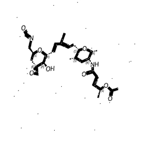 CC(=O)O[C@@H](C)C=CC(=O)N[C@@H]1C[C@H](C)[C@H](CC=C(C)C=C[C@H]2O[C@H](CN=C=O)C[C@@]3(CO3)[C@@H]2O)O[C@@H]1C